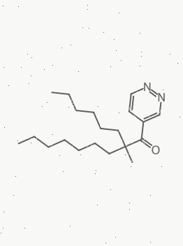 CCCCCCCC(C)(CCCCCC)C(=O)c1ccnnc1